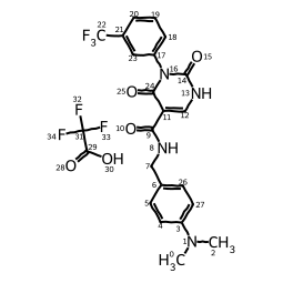 CN(C)c1ccc(CNC(=O)c2c[nH]c(=O)n(-c3cccc(C(F)(F)F)c3)c2=O)cc1.O=C(O)C(F)(F)F